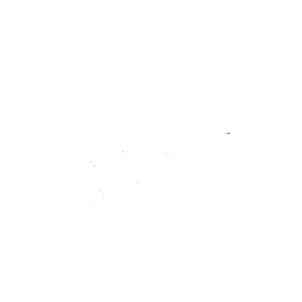 C[C@H]1CC[C@H](Cn2cnc3nc(-c4noc(=O)[nH]4)nc(-c4cccc(Cl)c4)c32)CC1(F)F